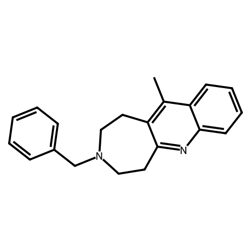 Cc1c2c(nc3ccccc13)CCN(Cc1ccccc1)CC2